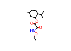 CCONC(=O)C(=O)OC1CC(C)CCC1C(C)C